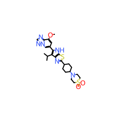 COc1cc(-c2[nH]c3sc(C4CCC(N5CCS(=O)(=O)CC5)CC4)nc3c2C(C)C)cn2ncnc12